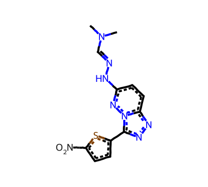 CN(C)C=NNc1ccc2nnc(-c3ccc([N+](=O)[O-])s3)n2n1